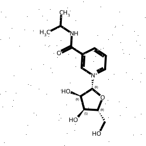 CC(C)NC(=O)c1ccc[n+]([C@@H]2O[C@H](CO)[C@@H](O)[C@H]2O)c1